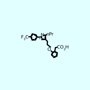 CCCc1nn(-c2ccc(C(F)(F)F)cc2)cc1CCCOc1ccccc1CC(=O)O